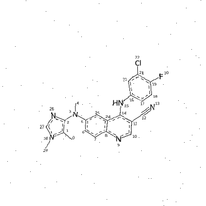 Cc1c(N(C)c2ccc3ncc(C#N)c(Nc4ccc(F)c(Cl)c4)c3c2)ncn1C